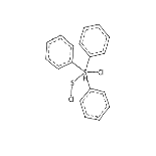 ClS[SH](Cl)(c1ccccc1)(c1ccccc1)c1ccccc1